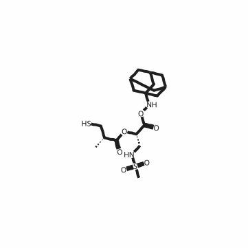 C[C@H](CS)C(=O)O[C@@H](CNS(C)(=O)=O)C(=O)ONC12CC3CC(CC(C3)C1)C2